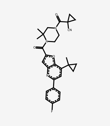 CC1(c2cc(-c3ccc(F)cc3)nc3cc(C(=O)N4CCN(C(=O)C5(C#N)CC5)CC4(C)C)oc23)CC1